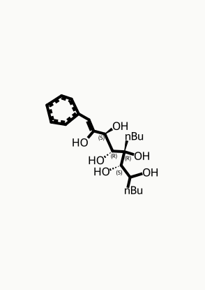 CCCCC(O)[C@H](O)[C@](O)(CCCC)[C@H](O)[C@H](O)C(O)=Cc1ccccc1